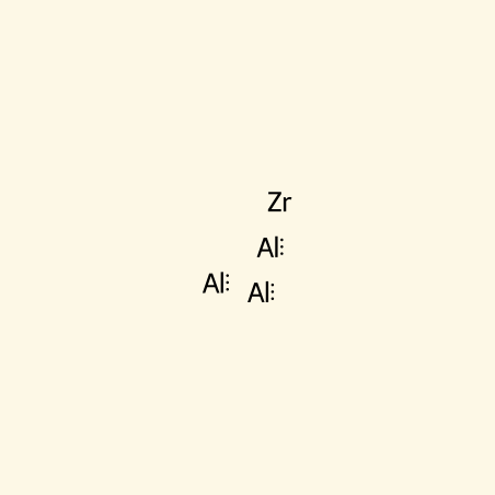 [Al].[Al].[Al].[Zr]